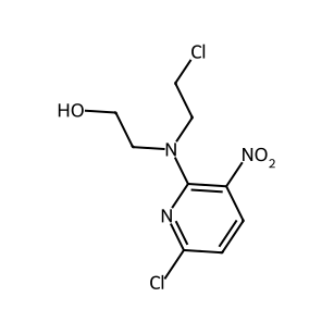 O=[N+]([O-])c1ccc(Cl)nc1N(CCO)CCCl